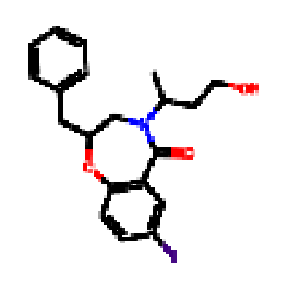 CC(CCO)N1CC(Cc2ccccc2)Oc2ccc(I)cc2C1=O